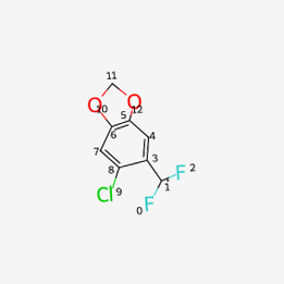 F[C](F)c1cc2c(cc1Cl)OCO2